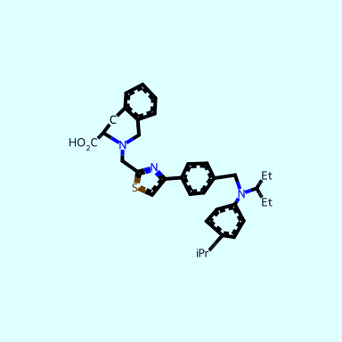 CCC(CC)N(Cc1ccc(-c2csc(CN3Cc4ccccc4CC3C(=O)O)n2)cc1)c1ccc(C(C)C)cc1